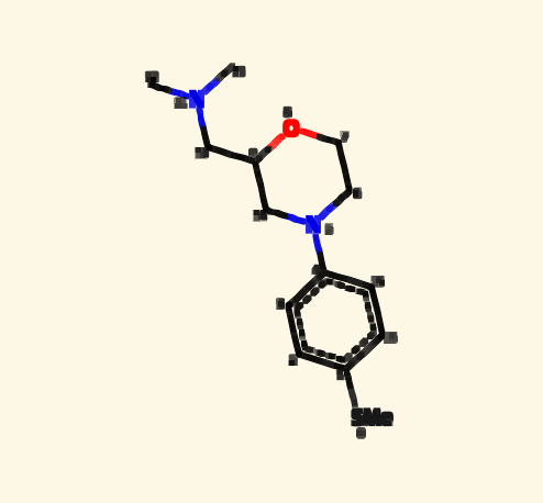 CSc1ccc(N2CCOC(CN(C)C)C2)cc1